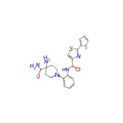 NC(=O)C1(N)CCN(c2ccccc2NC(=O)c2csc(-c3cccs3)n2)CC1